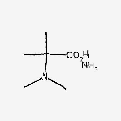 CN(C)C(C)(C)C(=O)O.N